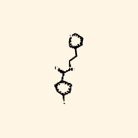 CCc1ccc(C(=O)NCCc2cccnc2)cc1